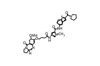 COC1CC2=C(C=C1OCCCC(=O)Nc1cc(C(=O)Nc3ccc4sc(C(=O)N5CCCCC5)cc4c3)n(C)c1)N=C[C@@H]1CCCN1C2=O